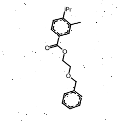 Cc1cc(C(=O)OCCOCc2ccccc2)ccc1C(C)C